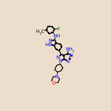 Cc1ccc(F)c(Nc2n[nH]c3cc(-c4nn([C@H]5CC[C@H](N6CCOCC6)CC5)c5ncnc(N)c45)ccc23)c1